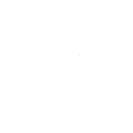 CC1=C(c2ccc(C)cc2)[CH]c2ccccc21